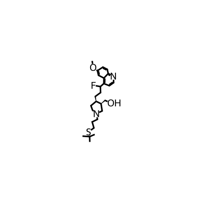 COc1ccc2nccc(C(F)CC[C@@H]3CCN(CCCSC(C)(C)C)C[C@@H]3CO)c2c1